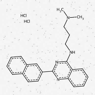 CN(C)CCCNc1nc(-c2ccc3ccccc3c2)nc2ccccc12.Cl.Cl